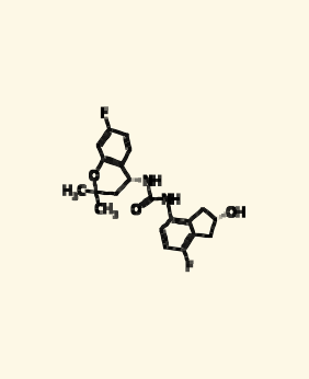 CC1(C)C[C@@H](NC(=O)Nc2ccc(F)c3c2C[C@H](O)C3)c2ccc(F)cc2O1